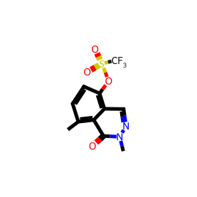 Cc1ccc(OS(=O)(=O)C(F)(F)F)c2cnn(C)c(=O)c12